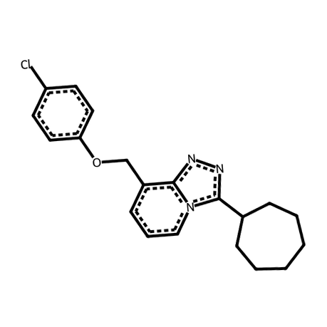 Clc1ccc(OCc2cccn3c(C4CCCCCC4)nnc23)cc1